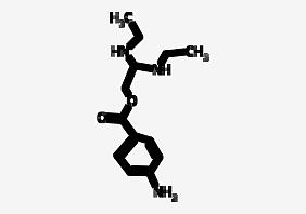 CCNC(COC(=O)c1ccc(N)cc1)NCC